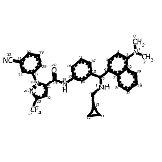 CN(C)c1ccc(C(NCC2CC2)c2cccc(NC(=O)c3cc(C(F)(F)F)nn3-c3cccc(C#N)c3)c2)c2ccccc12